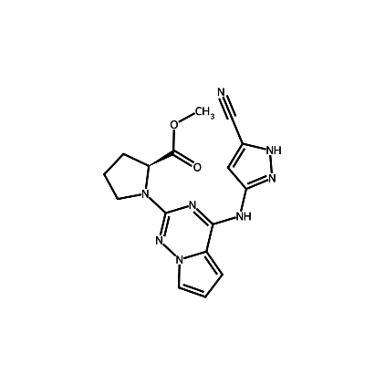 COC(=O)[C@@H]1CCCN1c1nc(Nc2cc(C#N)[nH]n2)c2cccn2n1